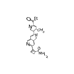 CCC(=O)c1cc(C)c(-c2cc3cnc(C4C5CC4(C(N)=O)C5)cc3cn2)cn1